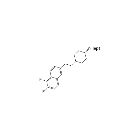 CCCCCCC[C@H]1CC[C@H](CCc2ccc3c(F)c(F)ccc3c2)CC1